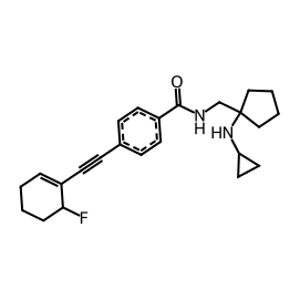 O=C(NCC1(NC2CC2)CCCC1)c1ccc(C#CC2=CCCCC2F)cc1